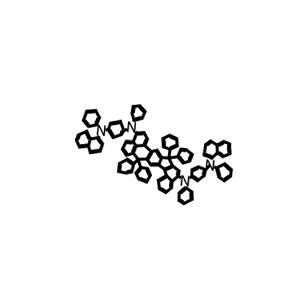 c1ccc(N(c2ccc(N(c3ccccc3)c3cc4c(c5ccccc35)-c3cc5c(cc3C4(c3ccccc3)c3ccccc3)-c3ccc(N(c4ccccc4)c4ccc(N(c6ccccc6)c6cccc7ccccc67)cc4)c4cccc(c34)C5(c3ccccc3)c3ccccc3)cc2)c2cccc3ccccc23)cc1